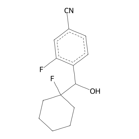 N#Cc1ccc(C(O)C2(F)CCCCC2)c(F)c1